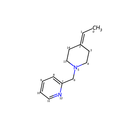 CC=C1CCN(Cc2ccccn2)CC1